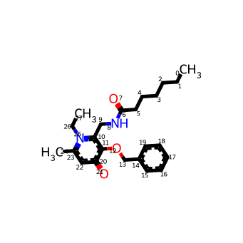 CCCCCCC(=O)NCc1c(OCc2ccccc2)c(=O)cc(C)n1CC